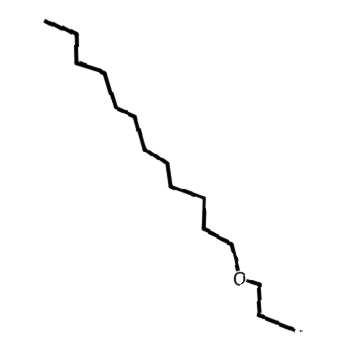 [CH2]CCOCCCCCCCCCCCC